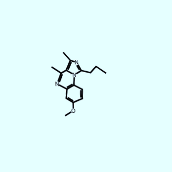 CCCc1nc(C)c2c(C)nc3cc(OC)ccc3n12